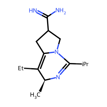 CCC1=C2CC(C(=N)N)CN2C(C(C)C)=N[C@H]1C